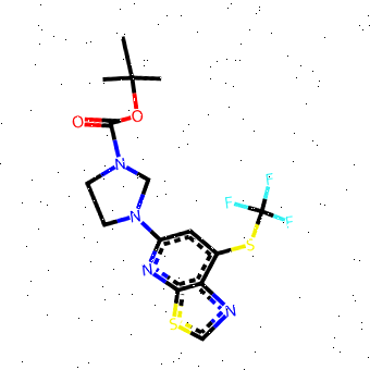 CC(C)(C)OC(=O)N1CCN(c2cc(SC(F)(F)F)c3ncsc3n2)C1